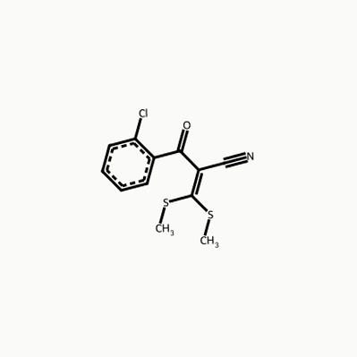 CSC(SC)=C(C#N)C(=O)c1ccccc1Cl